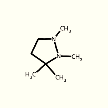 CN1CCC(C)(C)N1C